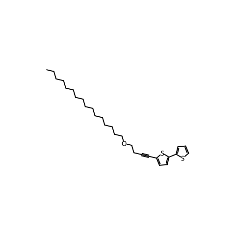 CCCCCCCCCCCCCCCCOCCC#Cc1ccc(-c2cccs2)s1